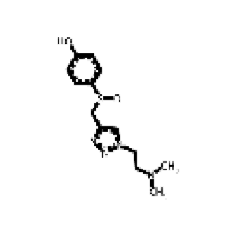 CN(C)CCn1cc(C[S+]([O-])c2ccc(O)cc2)nn1